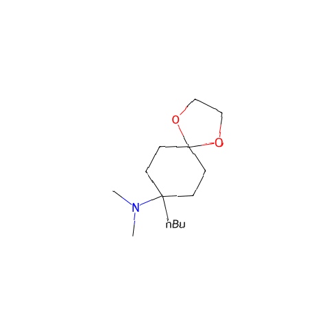 CCCCC1(N(C)C)CCC2(CC1)OCCO2